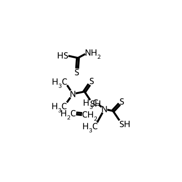 C=C.CN(C)C(=S)S.CN(C)C(=S)S.NC(=S)S